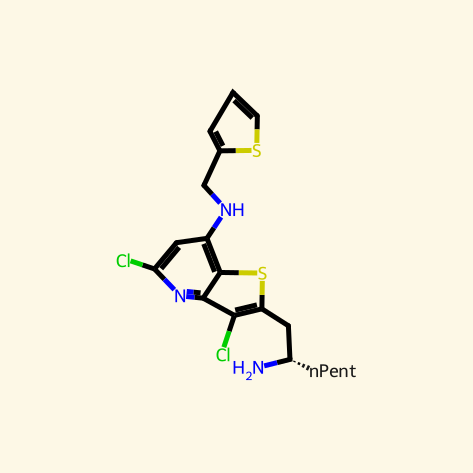 CCCCC[C@H](N)Cc1sc2c(NCc3cccs3)cc(Cl)nc2c1Cl